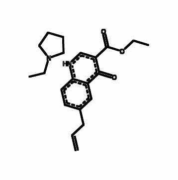 C=CCc1ccc2[nH]cc(C(=O)OCC)c(=O)c2c1.CCN1CCCC1